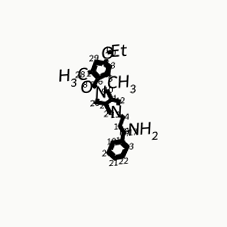 CCOc1cc(C)c(C(=O)N2CC3CN(CC[C@H](N)c4ccccc4)CC3C2)c(C)c1